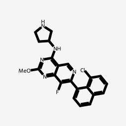 COc1nc(NC2CCNC2)c2cnc(-c3cccc4cccc(Cl)c34)c(F)c2n1